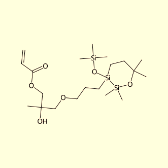 C=CC(=O)OCC(C)(O)COCCC[Si]1(O[Si](C)(C)C)CCC(C)(C)O[Si]1(C)C